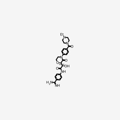 CCN1CCN(C(=O)c2ccc(N3CCO[C@H]([C@@H](O)C(=O)Nc4ccc(C(=N)N)cc4)C3=O)cc2)CC1